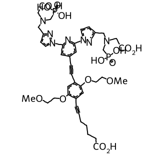 COCCOc1cc(C#Cc2cc(-n3ccc(CN(CC(=O)O)CP(=O)(O)O)n3)nc(-n3ccc(CN(CC(=O)O)CP(=O)(O)O)n3)c2)c(OCCOC)cc1C#CCCCCC(=O)O